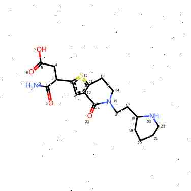 NC(=O)C(CC(=O)O)c1cc2c(s1)CCN(CCC1CCCCN1)C2=O